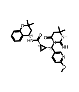 COc1ccc([C@H](C2C[C@H]2C(=O)N[C@H]2CC(C)(C)Oc3ccccc32)N2C(=N)NC(C)(C)CC2=O)cn1